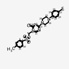 Cc1ccc(S(=O)(=O)OCn2cnc(N3CCN(c4ccc(F)cc4)CC3)nc2=O)cc1